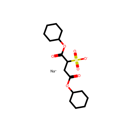 O=C(CC(C(=O)OC1CCCCC1)S(=O)(=O)[O-])OC1CCCCC1.[Na+]